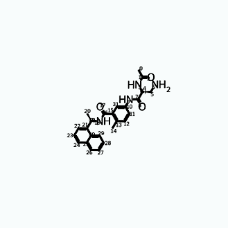 CC(=O)N[C@@H](CN)C(=O)Nc1ccc(C)c(C(=O)N[C@H](C)c2cccc3ccccc23)c1